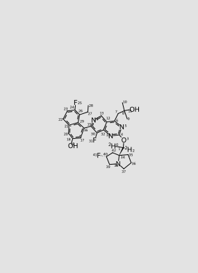 [2H]C([2H])(Oc1nc(CC(C)(C)O)c2cnc(-c3cc(O)cc4ccc(F)c(CC)c34)c(F)c2n1)[C@@]12CCCN1C[C@H](F)C2